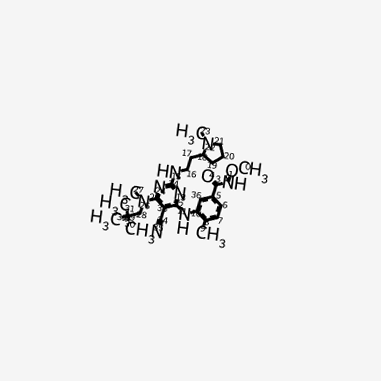 CONC(=O)c1ccc(C)c(Nc2nc(NCCC3CCCN3C)nc(N(C)CC(C)(C)C)c2C#N)c1